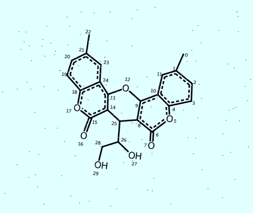 Cc1ccc2oc(=O)c3c(c2c1)Oc1c(c(=O)oc2ccc(C)cc12)C3C(O)CO